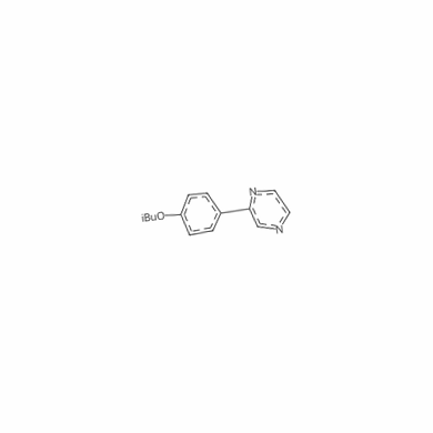 CC(C)COc1ccc(-c2cnccn2)cc1